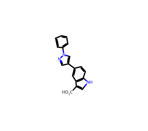 O=C(O)c1c[nH]c2ccc(-c3cnn(-c4ccccc4)c3)cc12